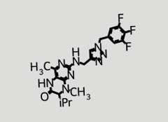 Cc1nc(NCc2cn(Cc3cc(F)c(F)c(F)c3)nn2)nc2c1NC(=O)C(C(C)C)N2C